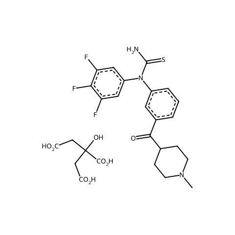 CN1CCC(C(=O)c2cccc(N(C(N)=S)c3cc(F)c(F)c(F)c3)c2)CC1.O=C(O)CC(O)(CC(=O)O)C(=O)O